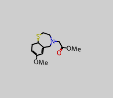 COC(=O)CN1CCSC2CC=C(OC)C=C2C1